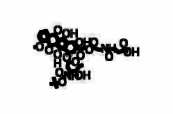 COc1cccc2c1C(=O)c1c(O)c3c(c(O)c1C2=O)CC(O)(C(=O)COC(=O)CNC(=O)CCC(=O)O)C[C@H]3OC1CC(NC(=O)OC(C)(C)C)C(O)C(C)O1